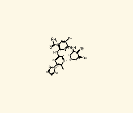 Cc1ncc(Nc2nc(NC3CCCC(=O)C3=N)c(F)cc2C(N)=O)cc1-n1nccn1